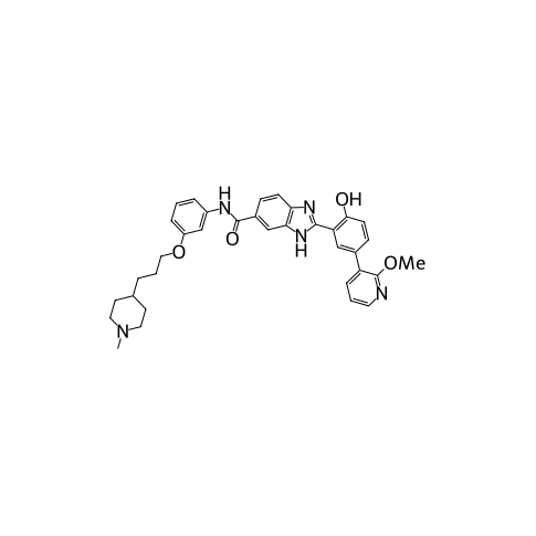 COc1ncccc1-c1ccc(O)c(-c2nc3ccc(C(=O)Nc4cccc(OCCCC5CCN(C)CC5)c4)cc3[nH]2)c1